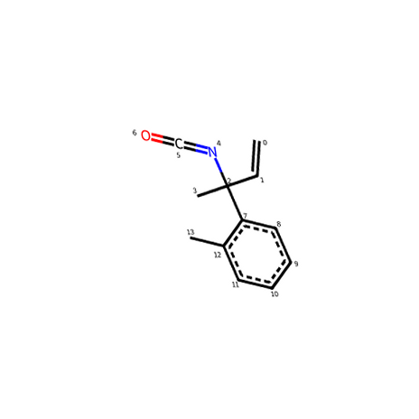 C=CC(C)(N=C=O)c1ccccc1C